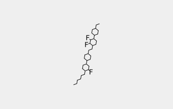 CCCCCCC1CCC(C2CCC(CCC3CCC(C4CCC(CC)CC4)C(F)C3F)CC2)CC1F